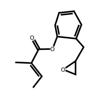 CC=C(C)C(=O)Oc1ccccc1CC1CO1